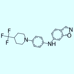 FC(F)(F)C1CCN(c2ccc(Nc3ccc4cnoc4c3)cc2)CC1